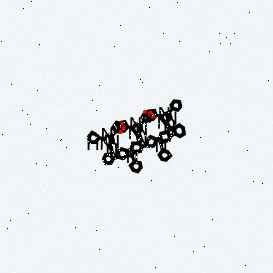 c1ccc(C2=NC(c3ccccc3)NC(n3c4ccccc4c4cc5c(cc43)c3cc4c(cc3n5-c3ccccc3)c3cc5c(cc3n4-c3nc(-c4ccccc4)nc(-c4ccccc4)n3)c3cc4c(cc3n5-c3ccccc3)c3ccccc3n4-c3nc(-c4ccccc4)nc(-c4ccccc4)n3)=N2)cc1